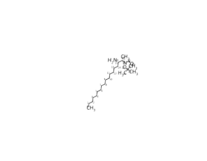 CCCCCCCCCCCCCCC[C@H](N)[C@H](C)N(C=O)OC(C)(C)C